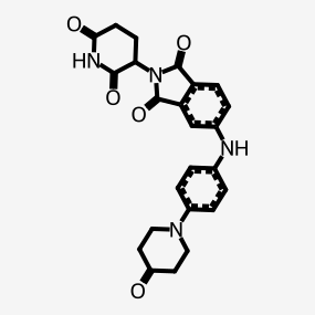 O=C1CCN(c2ccc(Nc3ccc4c(c3)C(=O)N(C3CCC(=O)NC3=O)C4=O)cc2)CC1